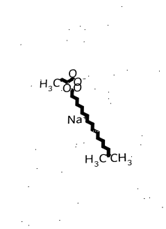 CCC(OC(=O)CCCCCCCCCCCCCCC(C)C)C(=O)[O-].[Na+]